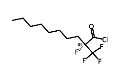 CCCCCCCC[C@@](F)(C(=O)Cl)C(F)(F)F